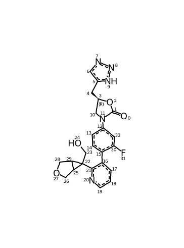 O=C1O[C@H](Cc2cnn[nH]2)CN1c1ccc(-c2cccnc2C2(CO)C3COCC32)c(F)c1